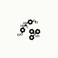 CCC[PH](c1ccccc1)(c1ccccc1)c1ccccc1.CCOc1ccc(NC(=S)Nc2ccc(OCC)cc2)cc1